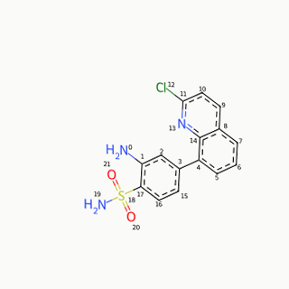 Nc1cc(-c2cccc3ccc(Cl)nc23)ccc1S(N)(=O)=O